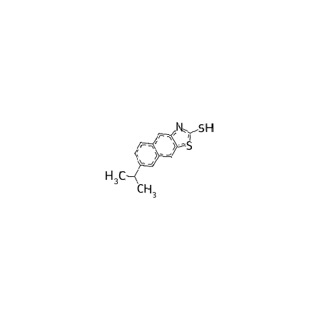 CC(C)c1ccc2cc3nc(S)sc3cc2c1